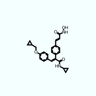 O=C(/C=C/c1ccc(/C(=C\c2ccc(OCC3CC3)cc2)C(=O)NC2CC2)cc1)NO